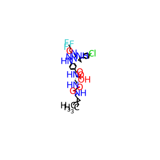 CCC1(CC)CC1CNC(=O)C(=O)NCC[C@H](NC(=O)c1ccc(Nc2nc(NC3(c4ccc(Cl)cc4)CC3)nc(OCC(F)(F)F)n2)cc1)C(=O)O